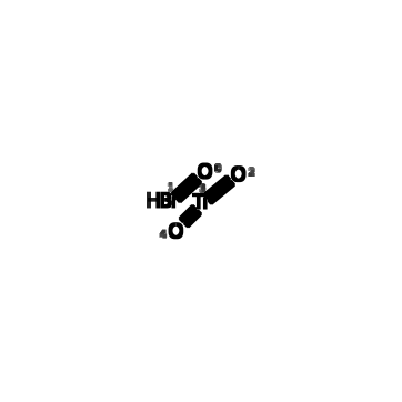 [O]=[BiH].[O]=[Ti]=[O]